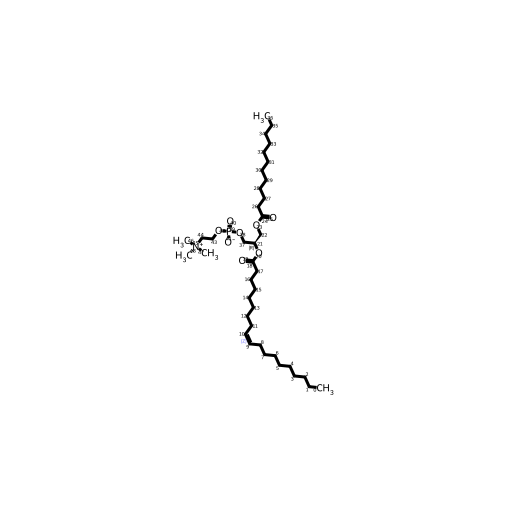 CCCCCCCCC/C=C\CCCCCCCC(=O)O[C@H](COC(=O)CCCCCCCCCCC)COP(=O)([O-])OCC[N+](C)(C)C